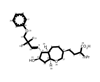 CCCC(CC[C@@H]1CC[C@@H]2[C@@H](/C=C/C(F)(F)COc3ccccc3)[C@H](O)C[C@@H]2OC1)C(=O)O